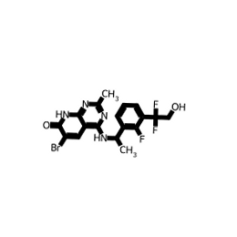 Cc1nc(NC(C)c2cccc(C(F)(F)CO)c2F)c2cc(Br)c(=O)[nH]c2n1